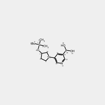 CC(C)(C)[Si](C)(C)OC1CCN(c2cncc(B(O)O)c2)C1